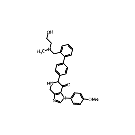 COc1ccc(-n2cnc3c2C(=O)C(c2ccc(-c4ccccc4CN(C)CCO)cc2)NC3)cc1